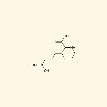 O=C(O)C1NCCOC1CCCB(O)O